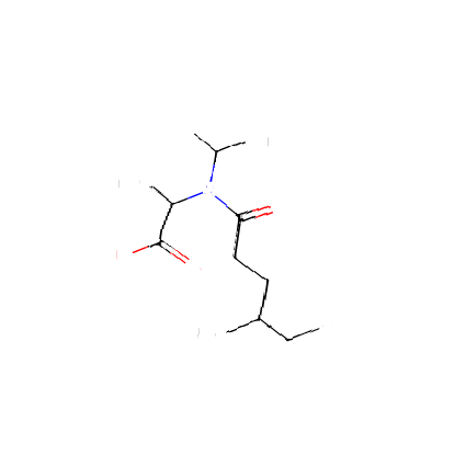 CCC(C)CCC(=O)N(C(C)C)C(C)C(=O)O